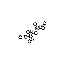 c1ccc(-c2ccc(-c3c4c(cc5c(-c6cccc(-c7cc(-c8cccc9c8sc8ccccc89)nc(-c8ccccc8)n7)c6)nc6ccccc6c35)oc3ccccc34)cc2)cc1